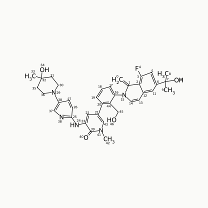 C=C1c2c(F)cc(C(C)(C)O)cc2C=CN1c1cccc(-c2cc(Nc3ccc(N4CCC(C)(O)CC4)cn3)c(=O)n(C)c2)c1CO